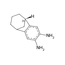 Nc1cc2c(cc1N)[C@H]1CCCC2C1